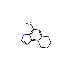 FC(F)(F)c1cc2c(c3cc[nH]c13)CCCC2